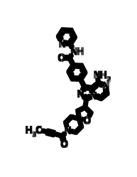 CC#CC(=O)N1CCC2(CC1)CC(c1nc(-c3ccc(C(=O)Nc4ccccn4)cc3)c3c(N)nccn13)CO2